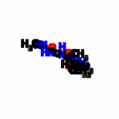 CCN1C(=O)[C@@H](CNc2ccc(NC(=O)CCN3CCN(C)CC3)cc2)S/C1=C(/N)C(=O)N(C)C(C)(C)C